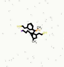 CPC(C1C=CCC(CCS)C1)C12C(CCS)CC(C)C1C2CCCI